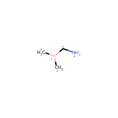 CB(C)CN